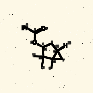 CC(C)C(=O)O[C@@H]1C[C@@H]2CC2(C)C1(C)C